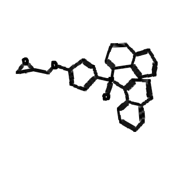 O=P(c1ccc(OCC2CO2)cc1)(c1cccc2ccccc12)c1cccc2ccccc12